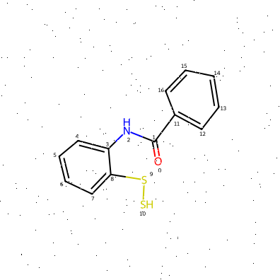 O=C(Nc1ccccc1SS)c1ccccc1